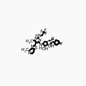 Cc1nc(NCC(F)(F)F)nc(N[C@@H]2C[C@H](CS(=O)(=O)c3ccc(F)cc3)[C@@H](O)[C@H]2O)c1-c1nc2c(C)nccc2s1